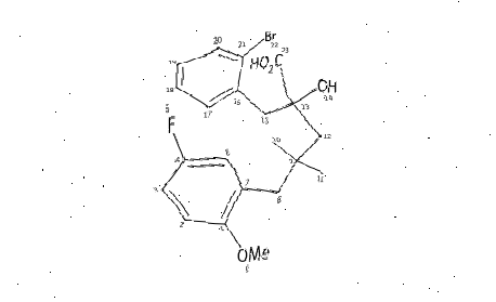 COc1ccc(F)cc1CC(C)(C)CC(O)(Cc1ccccc1Br)C(=O)O